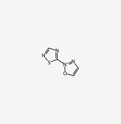 c1nsc(-[n+]2ncco2)n1